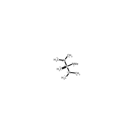 C=P(NC)(N(C)C)N(C)C